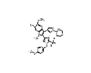 COc1ccc(Cn2nc(-c3c(-c4cnn(C5CCCCO5)c4)c4nc(OC)c(Cl)cc4n3C)nc2C(F)(F)F)cc1